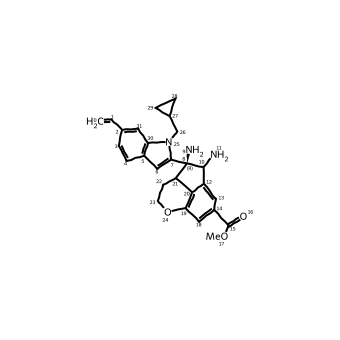 C=Cc1ccc2cc([C@]3(N)C(N)c4cc(C(=O)OC)cc5c4C3CCO5)n(CC3CC3)c2c1